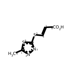 Cc1nnc(S/C=C/C(=O)O)s1